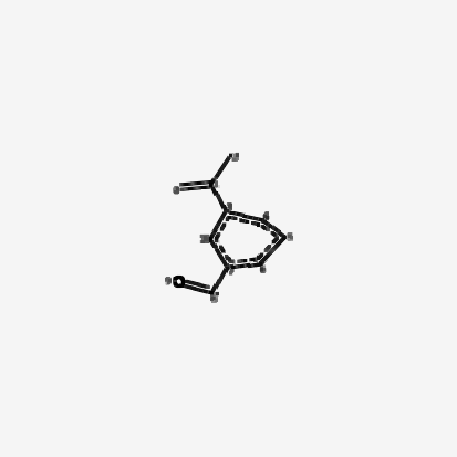 C=C(C)c1cccc([C]=O)c1